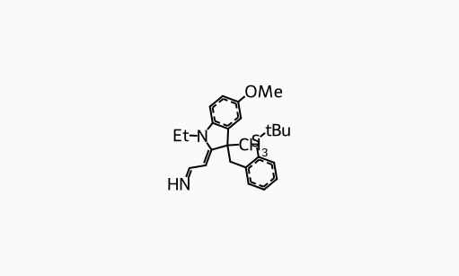 CCN1/C(=C\C=N)C(C)(Cc2ccccc2SC(C)(C)C)c2cc(OC)ccc21